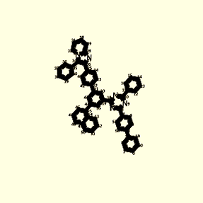 c1ccc(-c2ccc(-c3nc(-c4ccccc4)nc(-c4cc(-c5ccc(-c6nc7ccccn7c6-c6ccccc6)cc5)cc(-c5cccc6ccccc56)c4)n3)cc2)cc1